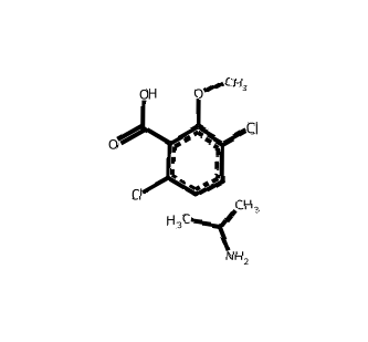 CC(C)N.COc1c(Cl)ccc(Cl)c1C(=O)O